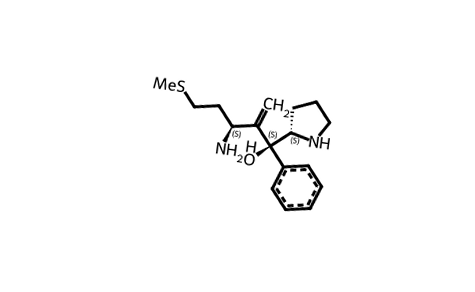 C=C([C@@H](N)CCSC)[C@@](O)(c1ccccc1)[C@@H]1CCCN1